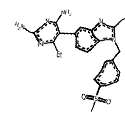 CCc1nc(N)nc(N)c1-c1ccc2c(c1)nc(C)n2Cc1ccc(S(C)(=O)=O)cc1